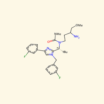 CNC(=O)N(CCC(N)COC)[C@@H](c1nc(-c2cccc(F)c2)cn1Cc1cccc(F)c1)C(C)(C)C